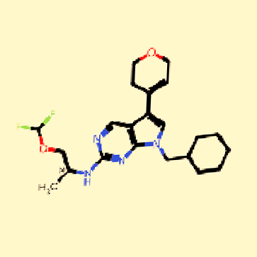 C[C@@H](COC(F)F)Nc1ncc2c(C3=CCOCC3)cn(CC3CCCCC3)c2n1